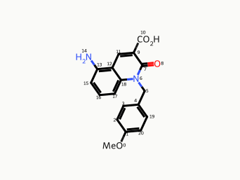 COc1ccc(Cn2c(=O)c(C(=O)O)cc3c(N)cccc32)cc1